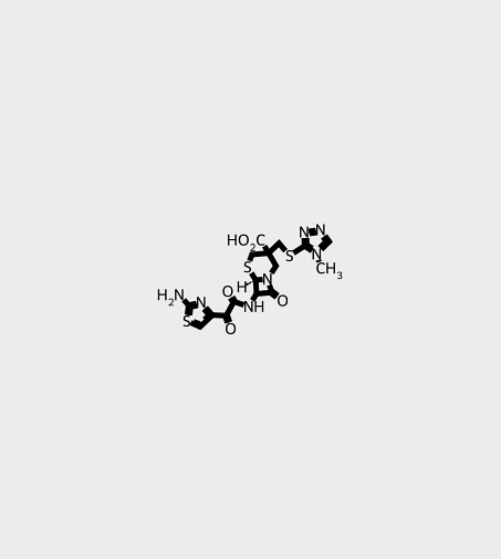 Cn1cnnc1SCC1(C(=O)O)CS[C@@H]2C(NC(=O)C(=O)c3csc(N)n3)C(=O)N2C1